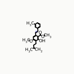 C=C(C)CCc1c(OC)cc(/C=C/c2cccc(C)c2)c(C(=O)OC)c1O